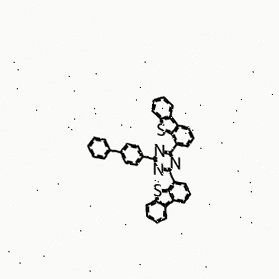 c1ccc(-c2ccc(-c3nc(-c4cccc5c4sc4ccccc45)nc(-c4cccc5c4sc4ccccc45)n3)cc2)cc1